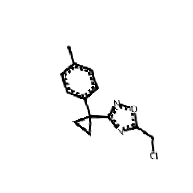 Cc1ccc(C2(c3noc(CCl)n3)CC2)cc1